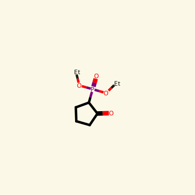 CCOP(=O)(OCC)C1CCCC1=O